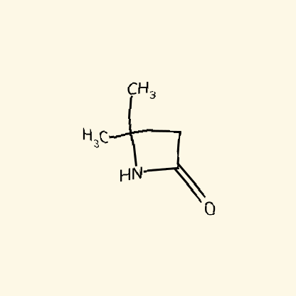 CC1(C)CC(=O)N1